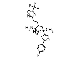 CC(C)(CC(CCc1noc(C(F)(F)F)n1)C(N)=O)c1coc(-c2ccc(F)cc2)n1